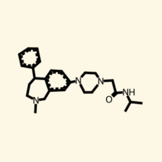 CC(C)NC(=O)CN1CCN(c2ccc3c(c2)CN(C)CCC3c2ccccc2)CC1